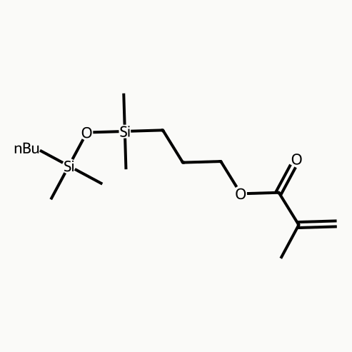 C=C(C)C(=O)OCCC[Si](C)(C)O[Si](C)(C)CCCC